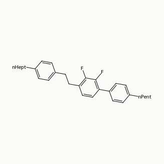 CCCCCCCc1ccc(CCc2ccc(-c3ccc(CCCCC)cc3)c(F)c2F)cc1